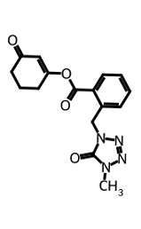 Cn1nnn(Cc2ccccc2C(=O)OC2=CC(=O)CCC2)c1=O